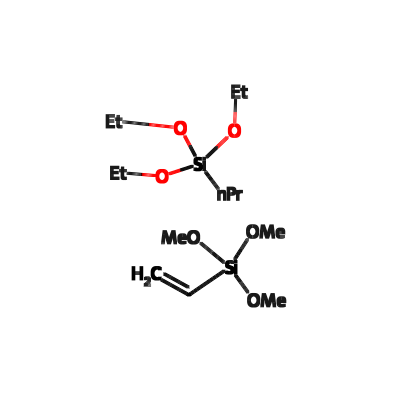 C=C[Si](OC)(OC)OC.CCC[Si](OCC)(OCC)OCC